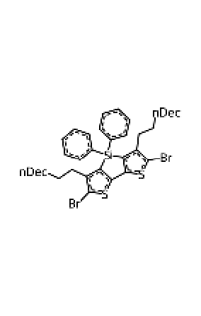 CCCCCCCCCCCCc1c(Br)sc2c1[Si](c1ccccc1)(c1ccccc1)c1c-2sc(Br)c1CCCCCCCCCCCC